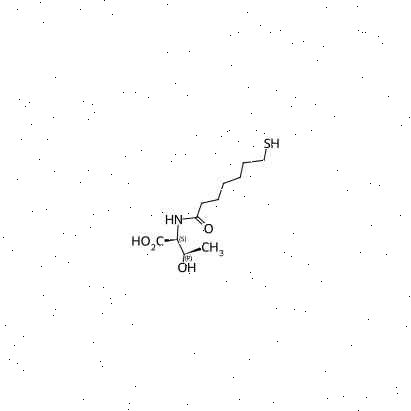 C[C@@H](O)[C@H](NC(=O)CCCCCCS)C(=O)O